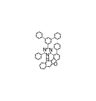 c1ccc(-c2cc(C3=NC(c4ccccc4)NC(c4c(-c5ccccc5)ccc5oc6cc7ccccc7cc6c45)=N3)cc(-c3ccccc3)c2)cc1